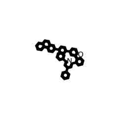 c1ccc(-c2cc(-c3ccccc3)nc(-c3cccc4oc5ccc(-c6ccc(-c7ccc8c(ccc9ccccc98)c7)cc6)cc5c34)c2)cc1